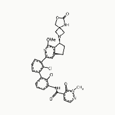 COc1nc(-c2cccc(-c3cccc(NC(=O)c4ccnn(C)c4=O)c3Cl)c2Cl)cc2c1[C@@H](N1CC3(COC(=O)N3)C1)CC2